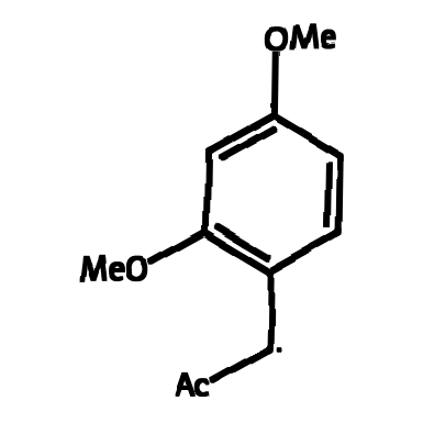 COc1ccc([CH]C(C)=O)c(OC)c1